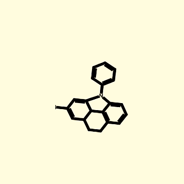 IC1=CC2CCc3cccc4c3C2C(=C1)N4c1ccccc1